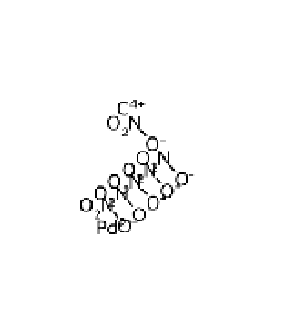 O=[N+]([O-])[O-].O=[N+]([O-])[O-].O=[N+]([O-])[O-].O=[N+]([O-])[O-].O=[N+]([O-])[O-].O=[N+]([O-])[O-].[C+4].[Pd+2]